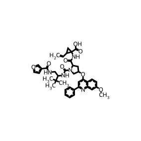 C=CC1CC1(NC(=O)C1CC(Oc2cc(-c3ccccc3)nc3cc(OC)ccc23)CN1C(=O)NC(CNC(=O)c1ccoc1)C(C)(C)C)C(=O)O